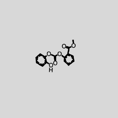 COC(=O)c1ccccc1OC(=O)Oc1ccccc1O